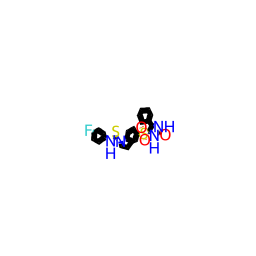 O=C1NC(c2ccccc2)C(S(=O)(=O)c2ccc3c(c2)CCN3C(=S)Nc2ccc(F)cc2)N1